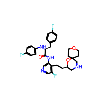 O=C(Nc1cncc(F)c1CC[C@@H]1CNCC2(CCOCC2)O1)[C@H](Cc1ccc(F)cc1)Nc1ccc(F)cc1